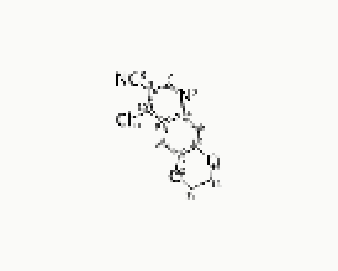 N#Cc1cnc2cc3c(cc2c1Cl)OCCO3